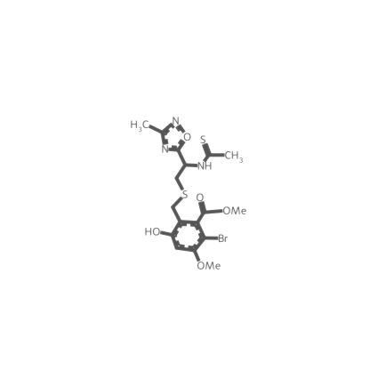 COC(=O)c1c(Br)c(OC)cc(O)c1CSCC(NC(C)=S)c1nc(C)no1